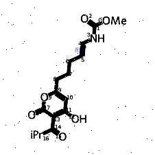 COC(=O)N/C=C/CCCc1cc(O)c(C(=O)C(C)C)c(=O)o1